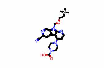 C[Si](C)(C)CCOCn1c2cnc(C#N)cc2c2c(N3CCN(C(=O)O)CC3)ccnc21